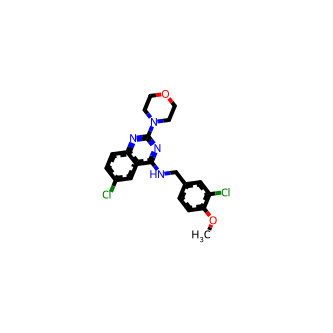 COc1ccc(CNc2nc(N3CCOCC3)nc3ccc(Cl)cc23)cc1Cl